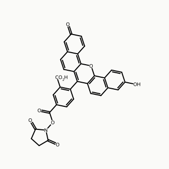 O=C(ON1C(=O)CCC1=O)c1ccc(-c2c3ccc4cc(O)ccc4c3oc3c2ccc2cc(=O)ccc23)c(C(=O)O)c1